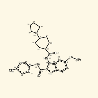 CC(C)Oc1ccc2oc(C(=O)Nc3ccc(Cl)cn3)c(NC(=O)C3CCC(N4CCCC4)CC3)c2n1